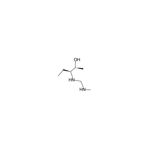 CC[C@H](NCNC)[C@H](C)O